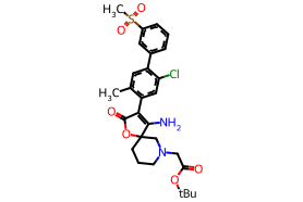 Cc1cc(-c2cccc(S(C)(=O)=O)c2)c(Cl)cc1C1=C(N)C2(CCCN(CC(=O)OC(C)(C)C)C2)OC1=O